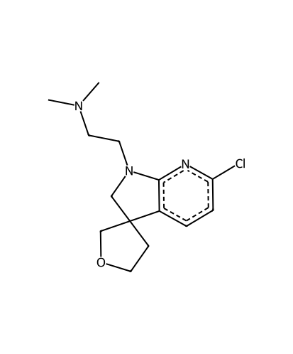 CN(C)CCN1CC2(CCOC2)c2ccc(Cl)nc21